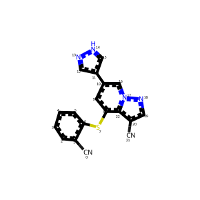 N#Cc1ccccc1Sc1cc(-c2cn[nH]c2)cn2ncc(C#N)c12